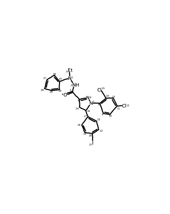 CCN(NC(=O)C1=NN(c2ccc(Cl)cc2Cl)C(c2ccc(I)cc2)C1)c1ccccc1